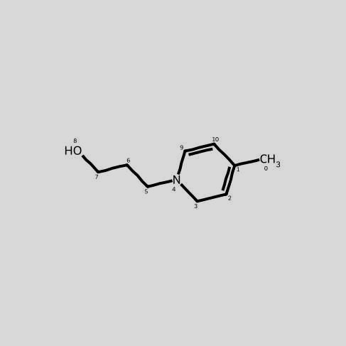 CC1=CCN(CCCO)C=C1